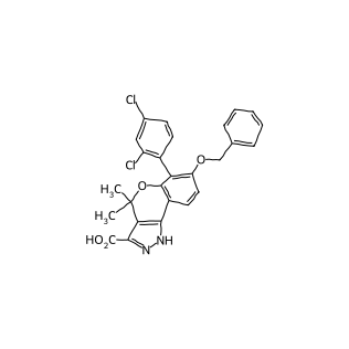 CC1(C)Oc2c(ccc(OCc3ccccc3)c2-c2ccc(Cl)cc2Cl)-c2[nH]nc(C(=O)O)c21